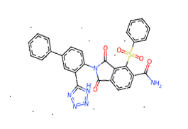 NC(=O)c1ccc2c(c1S(=O)(=O)c1ccccc1)C(=O)N(c1ccc(-c3ccccc3)cc1-c1nnn[nH]1)C2=O